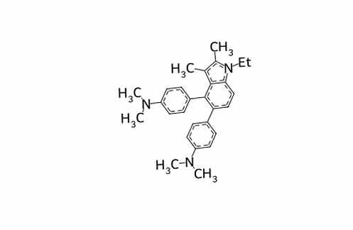 CCn1c(C)c(C)c2c(-c3ccc(N(C)C)cc3)c(-c3ccc(N(C)C)cc3)ccc21